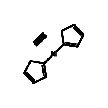 C#C.C1=CC[C]([Ni][C]2=CC=CC2)=C1